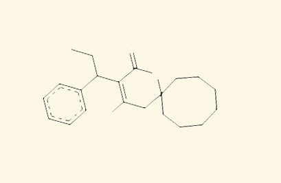 CCC(C1=C(O)CC2(CCCCCCC2)OC1=O)c1ccccc1